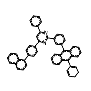 C1=CC(c2c3ccccc3c(-c3cccc(-c4nc(-c5ccccc5)cc(-c5ccc(-c6cccc7ccccc67)cc5)n4)c3)c3ccccc23)=CCC1